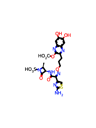 C[C@H]1[C@@H](NC(=O)/C(=N\OCCCc2nc3cc(O)c(O)cc3nc2OC(=O)O)c2csc(N)n2)C(=O)N1S(=O)(=O)O